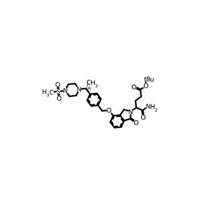 C[C@H](c1ccc(COc2cccc3c2CN(C(CCC(=O)OC(C)(C)C)C(N)=O)C3=O)cc1)N1CCN(S(C)(=O)=O)CC1